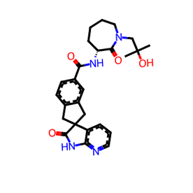 CC(C)(O)CN1CCCC[C@@H](NC(=O)c2ccc3c(c2)CC2(C3)C(=O)Nc3ncccc32)C1=O